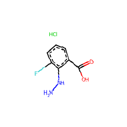 Cl.NNc1c(F)cccc1C(=O)O